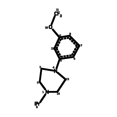 CC(C)N1CCN(c2cccc(OC(F)(F)F)c2)CC1